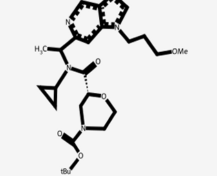 COCCCn1ccc2cnc(C(C)N(C(=O)[C@H]3CN(C(=O)OC(C)(C)C)CCO3)C3CC3)cc21